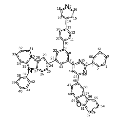 c1ccc(-c2nc(-c3cc(-c4ccc(-c5ccncc5)cc4)cc(-c4ccc5c(c4)c4ccccc4n5-c4ccccc4)c3)cc(-c3ccc4oc5ccccc5c4c3)n2)cc1